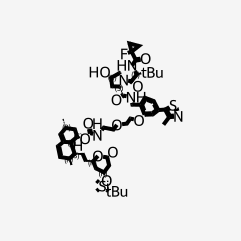 Cc1ncsc1-c1ccc(CNC(=O)[C@@H]2C[C@@H](O)CN2C(=O)[C@@H](NC(=O)C2(F)CC2)C(C)(C)C)c(OCCOCCNC(=O)O[C@H]2C[C@@H](C)C=C3C=C[C@H](C)[C@H](CC[C@@H]4C[C@@H](O[Si](C)(C)C(C)(C)C)CC(=O)O4)[C@H]32)c1